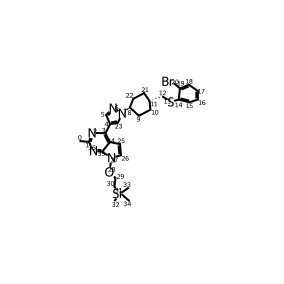 Cc1nc(-c2cnn([C@H]3CC[C@@H](CSc4ccccc4Br)CC3)c2)c2ccn(OCC[Si](C)(C)C)c2n1